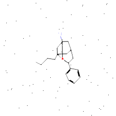 CCCCC12CC3CC(N)(C1)CC(c1ccccc1)(C3)C2